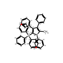 Cc1c(-c2ccccc2)c(-c2ccccc2)c([Si](c2ccccc2)(c2ccccc2)c2ccccc2)n1-c1ccccc1